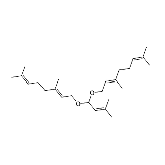 CC(C)=CCC/C(C)=C/COC(C=C(C)C)OC/C=C(\C)CCC=C(C)C